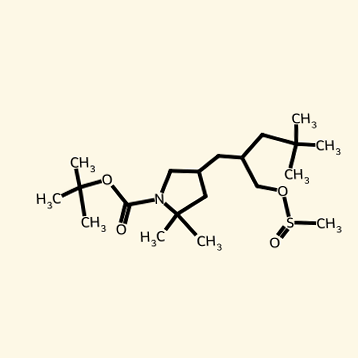 CS(=O)OCC(CC1CN(C(=O)OC(C)(C)C)C(C)(C)C1)CC(C)(C)C